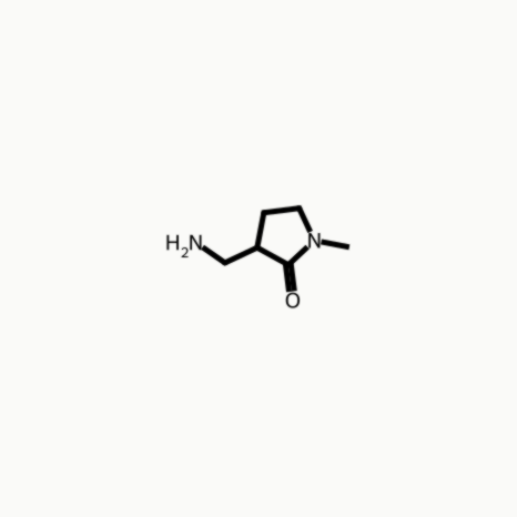 CN1CCC(CN)C1=O